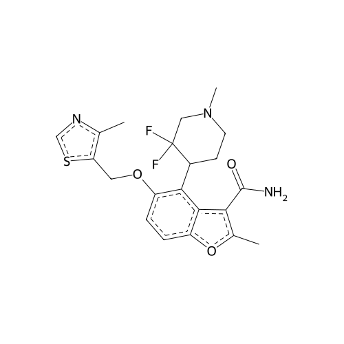 Cc1ncsc1COc1ccc2oc(C)c(C(N)=O)c2c1C1CCN(C)CC1(F)F